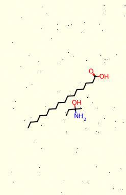 CCC(C)(N)O.CCCCCCCCCCCCCCCC(=O)O